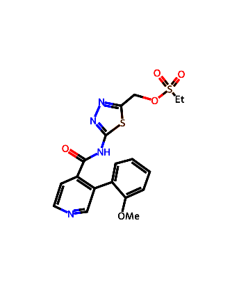 CCS(=O)(=O)OCc1nnc(NC(=O)c2ccncc2-c2ccccc2OC)s1